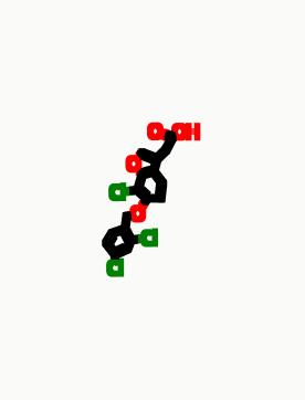 O=C(O)Cc1coc2c(Cl)c(OCc3ccc(Cl)cc3Cl)ccc12